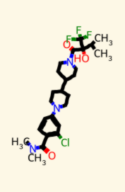 CC(C)C(O)(C(=O)N1CCC(C2CCN(c3ccc(C(=O)N(C)C)c(Cl)c3)CC2)CC1)C(F)(F)F